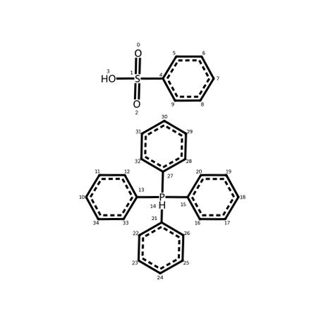 O=S(=O)(O)c1ccccc1.c1ccc([PH](c2ccccc2)(c2ccccc2)c2ccccc2)cc1